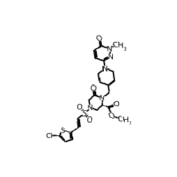 COC(=O)[C@H]1CN(S(=O)(=O)C=Cc2ccc(Cl)s2)CC(=O)N1CC1CCN(c2ccc(=O)n(C)n2)CC1